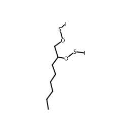 CCCCCCC(COSI)OSI